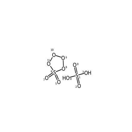 O=S(=O)(O)O.O=S1(=O)OOOO1